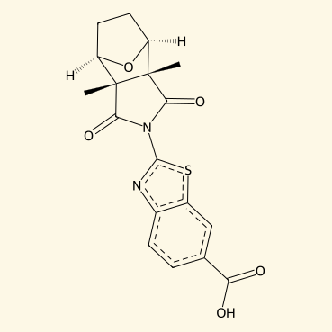 C[C@@]12C(=O)N(c3nc4ccc(C(=O)O)cc4s3)C(=O)[C@]1(C)[C@H]1CC[C@@H]2O1